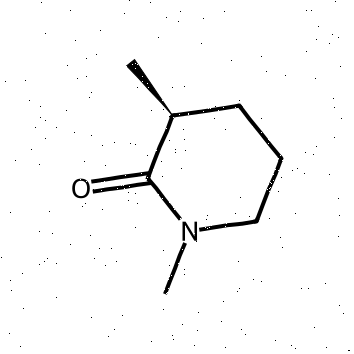 C[C@H]1CCCN(C)C1=O